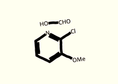 COc1cccnc1Cl.O=CO